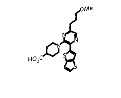 COCCCc1cnc(-c2cc3sccc3s2)c(N2CCC(C(=O)O)CC2)n1